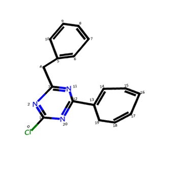 Clc1nc(Cc2ccccc2)nc(C2=CC=CC=CC2)n1